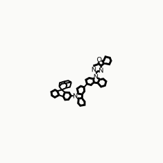 c1ccc2c(c1)-c1ccc(-n3c4ccccc4c4cc(-c5ccc6c(c5)c5ccccc5n6-c5ncc6oc7ccccc7c6n5)ccc43)cc1C21C2CC3CC(C2)CC1C3